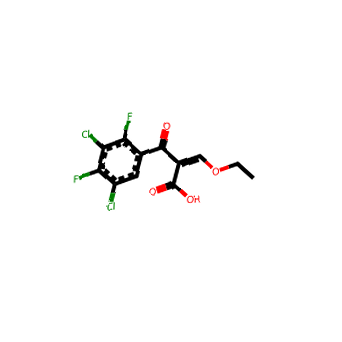 CCOC=C(C(=O)O)C(=O)c1cc(Cl)c(F)c(Cl)c1F